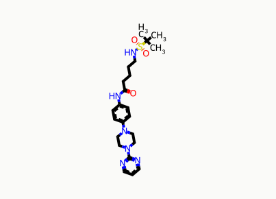 CC(C)(C)S(=O)(=O)NCCCCC(=O)Nc1ccc(N2CCN(c3ncccn3)CC2)cc1